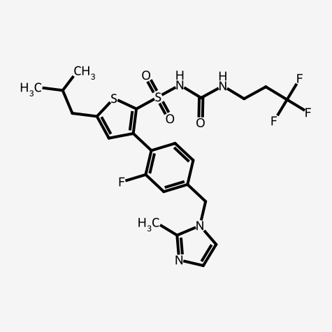 Cc1nccn1Cc1ccc(-c2cc(CC(C)C)sc2S(=O)(=O)NC(=O)NCCC(F)(F)F)c(F)c1